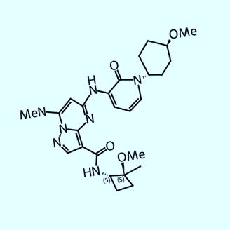 CNc1cc(Nc2cccn([C@H]3CC[C@H](OC)CC3)c2=O)nc2c(C(=O)N[C@H]3CC[C@]3(C)OC)cnn12